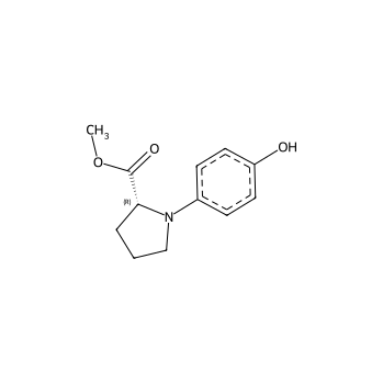 COC(=O)[C@H]1CCCN1c1ccc(O)cc1